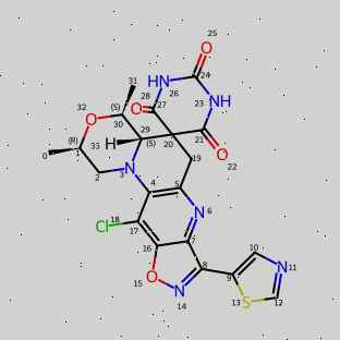 C[C@@H]1CN2c3c(nc4c(-c5cncs5)noc4c3Cl)CC3(C(=O)NC(=O)NC3=O)[C@H]2[C@H](C)O1